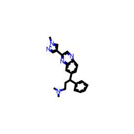 CN(C)CCC(c1ccccc1)c1ccc2ncc(-c3cnn(C)c3)nc2c1